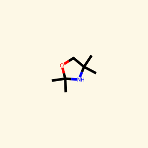 CC1(C)COC(C)(C)N1